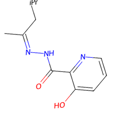 CC(CC(C)C)=NNC(=O)c1ncccc1O